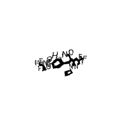 NC(=O)c1c(-c2ccc(S(=O)(=O)NC3(C(F)(F)F)CC3)cc2)n(C2CCC2)c2ncc(C(F)(F)F)cc12